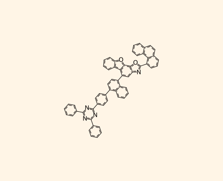 c1ccc(-c2nc(-c3ccccc3)nc(-c3ccc(-c4ccc(-c5cc6nc(-c7cccc8ccc9ccccc9c78)oc6c6oc7ccccc7c56)c5ccccc45)cc3)n2)cc1